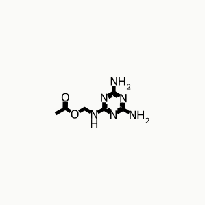 CC(=O)OCNc1nc(N)nc(N)n1